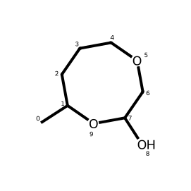 CC1CCCOCC(O)O1